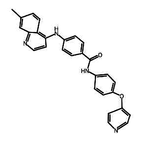 Cc1ccc2c(Nc3ccc(C(=O)Nc4ccc(Oc5ccncc5)cc4)cc3)ccnc2c1